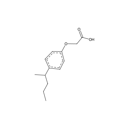 CCCC(C)c1ccc(OCC(=O)O)cc1